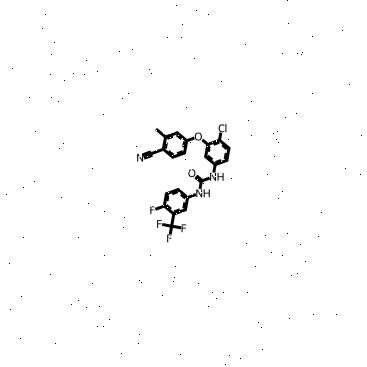 Cc1cc(Oc2cc(NC(=O)Nc3ccc(F)c(C(F)(F)F)c3)ccc2Cl)ccc1C#N